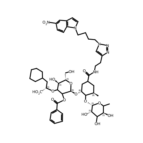 CC1O[C@@H](OC2[C@H](C)CC(C(=O)NCCc3cn(CCCCn4ccc5cc([N+](=O)[O-])ccc54)nn3)C[C@H]2O[C@@H]2O[C@@H](CO)[C@H](O)C(O[C@@H](CC3CCCCC3)C(=O)O)C2OC(=O)c2ccccc2)[C@@H](O)C(O)[C@@H]1O